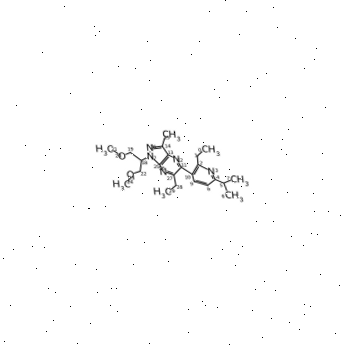 CCc1nc(C(C)C)ccc1-c1nc2c(C)nn(C(COC)COC)c2nc1CC